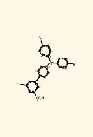 O=C(O)c1cc(F)cc(-c2ccc(N(c3ccc(Br)cc3)c3ccc(Br)cc3)cc2)c1